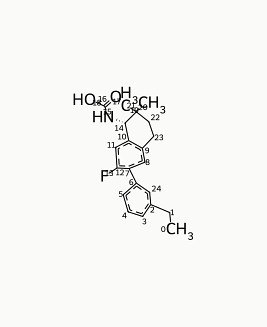 CCc1cccc(-c2cc3c(cc2F)[C@H](NC(=O)O)C(C)(C)CC3)c1